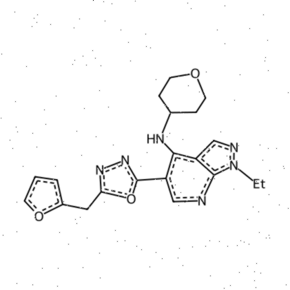 CCn1ncc2c(NC3CCOCC3)c(-c3nnc(Cc4ccco4)o3)cnc21